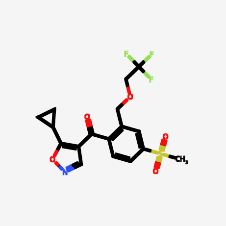 CS(=O)(=O)c1ccc(C(=O)c2cnoc2C2CC2)c(COCC(F)(F)F)c1